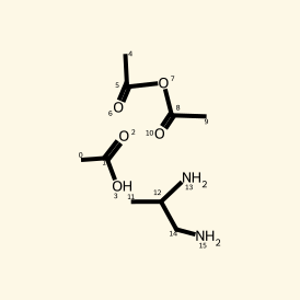 CC(=O)O.CC(=O)OC(C)=O.CC(N)CN